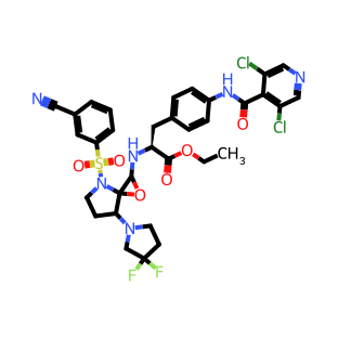 CCOC(=O)[C@H](Cc1ccc(NC(=O)c2c(Cl)cncc2Cl)cc1)NC1OC12C(N1CCC(F)(F)C1)CCN2S(=O)(=O)c1cccc(C#N)c1